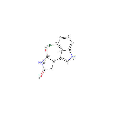 O=C1CC(c2c[nH]c3cccc(F)c23)C(=O)N1